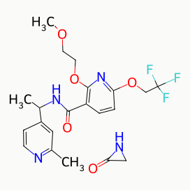 COCCOc1nc(OCC(F)(F)F)ccc1C(=O)NC(C)c1ccnc(C)c1.O=C1CN1